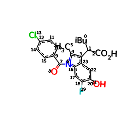 CCC(C)C(C(=O)O)c1c(C)n(C(=O)c2ccc(Cl)cc2)c2cc(F)c(O)cc12